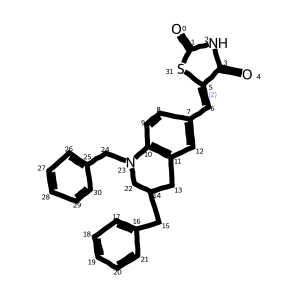 O=C1NC(=O)/C(=C/c2ccc3c(c2)CC(Cc2ccccc2)CN3Cc2ccccc2)S1